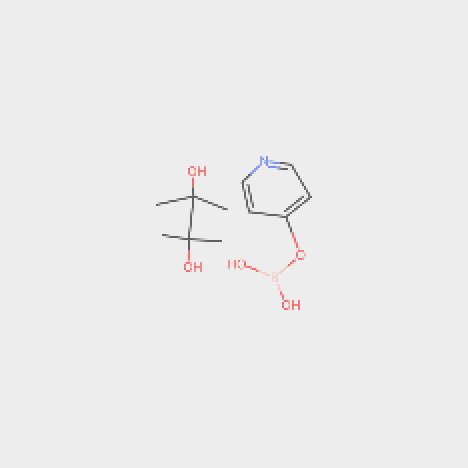 CC(C)(O)C(C)(C)O.OB(O)Oc1ccncc1